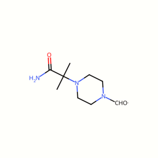 CC(C)(C(N)=O)N1CCN([C]=O)CC1